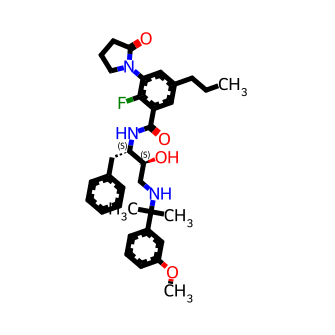 CCCc1cc(C(=O)N[C@@H](Cc2ccccc2)[C@@H](O)CNC(C)(C)c2cccc(OC)c2)c(F)c(N2CCCC2=O)c1